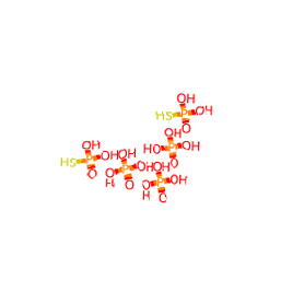 O=P(O)(O)O.O=P(O)(O)O.O=P(O)(O)O.O=P(O)(O)S.O=P(O)(O)S